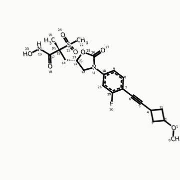 COC1CC(C#Cc2ccc(N3C[C@H](C[C@](C)(C(=O)NO)S(C)(=O)=O)OC3=O)cc2F)C1